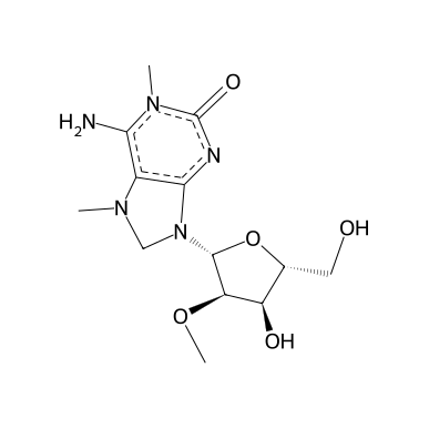 CO[C@@H]1[C@H](O)[C@@H](CO)O[C@H]1N1CN(C)c2c1nc(=O)n(C)c2N